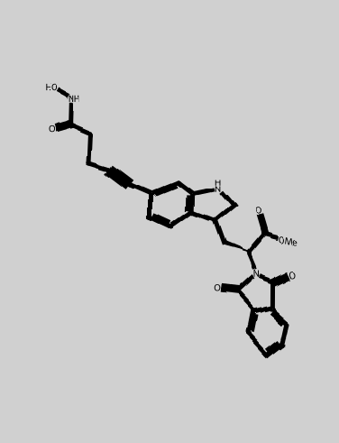 COC(=O)[C@H](CC1CNc2cc(C#CCCC(=O)NO)ccc21)N1C(=O)c2ccccc2C1=O